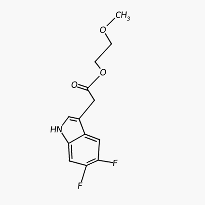 COCCOC(=O)Cc1c[nH]c2cc(F)c(F)cc12